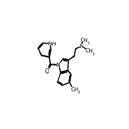 Cc1ccc2c(c1)c(CCN(C)C)cn2C(=O)C1=CNC=CC1